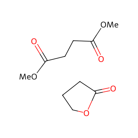 COC(=O)CCC(=O)OC.O=C1CCCO1